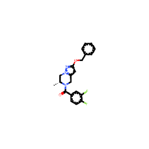 C[C@@H]1Cn2nc(OCc3ccccc3)cc2CN1C(=O)c1ccc(F)c(F)c1